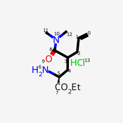 C=CCC(C[C@H](N)C(=O)OCC)C(=O)N(C)C.Cl